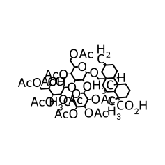 C=C1CC[C@@H]2[C@](CO[C@@H]3OC(COC(C)=O)[C@@H](OC(C)=O)C(O[C@H](OC(C)=O)C(OC(C)=O)[C@H](OC(C)=O)C(O)COC(C)=O)C3O[C@@H]3OC(C)[C@H](OC(C)=O)C(OC(C)=O)[C@@H]3OC(C)=O)(CCC3[C@](C)(C(=O)O)CCC[C@]32C)C1